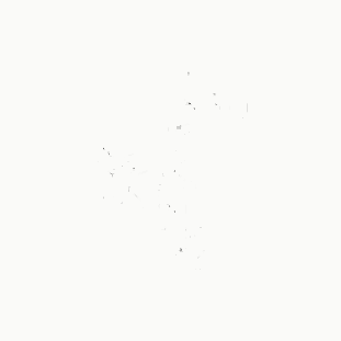 CC(CSC(=O)c1cc(S(N)(=O)=O)c(Cl)cc1NCc1ccco1)C(=O)N1CCC[C@H]1C(=O)O